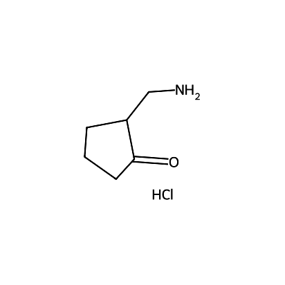 Cl.NCC1CCCC1=O